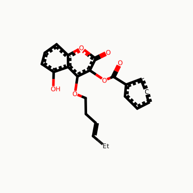 CC/C=C/CCOc1c(OC(=O)c2ccccc2)c(=O)oc2cccc(O)c12